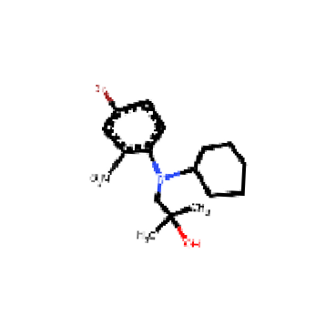 CC(C)(O)CN(c1ccc(Br)cc1[N+](=O)[O-])C1CCCCC1